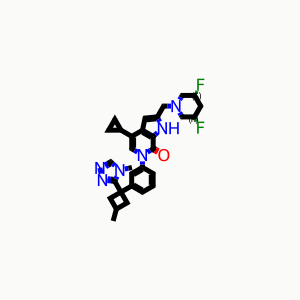 CC1CC(c2cccc(-n3cc(C4CC4)c4cc(CN5C[C@H](F)C[C@H](F)C5)[nH]c4c3=O)c2)(c2nncn2C)C1